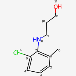 Cc1cccc(Cl)c1NCCCO